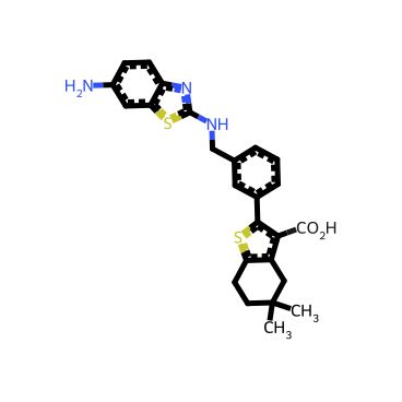 CC1(C)CCc2sc(-c3cccc(CNc4nc5ccc(N)cc5s4)c3)c(C(=O)O)c2C1